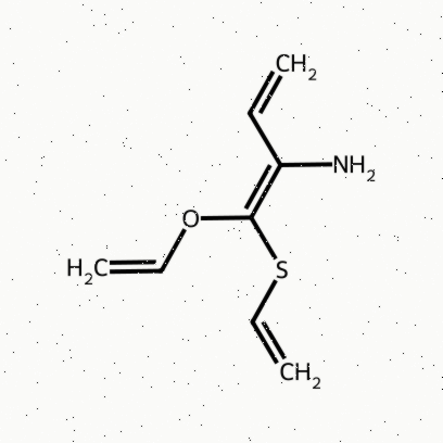 C=CO/C(SC=C)=C(/N)C=C